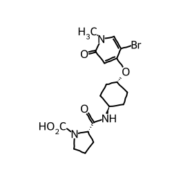 Cn1cc(Br)c(O[C@H]2CC[C@H](NC(=O)[C@@H]3CCCN3C(=O)O)CC2)cc1=O